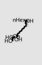 CCCCCC[C@@H](O)C/C=C\CCCCCCCC(=O)OC(O)C(O)CO